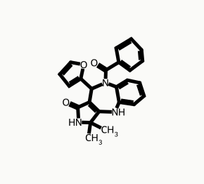 CC1(C)NC(=O)C2=C1Nc1ccccc1N(C(=O)c1ccccc1)C2c1ccco1